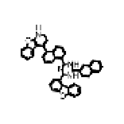 C1=C(c2cccc3c(C4=NC(c5cccc6oc7ccccc7c56)NC(c5ccc6ccccc6c5)N4)cccc23)c2c(oc3ccccc23)NC1